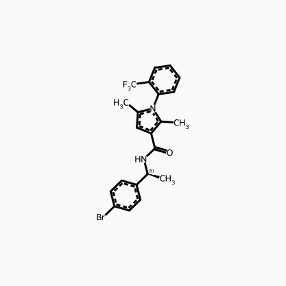 Cc1cc(C(=O)N[C@@H](C)c2ccc(Br)cc2)c(C)n1-c1ccccc1C(F)(F)F